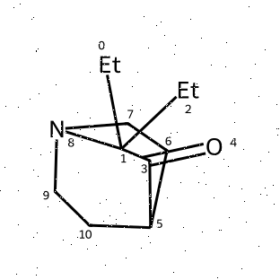 CCC1(CC)C(=O)C2CCN1CC2